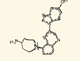 NC1CCN(c2cccc3ncc(-n4cnc5cc(O)ccc54)nc23)CC1